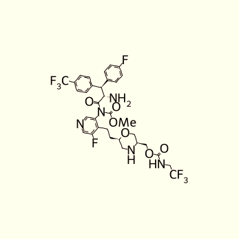 COC(=O)N(C(=O)[C@@H](N)[C@H](c1ccc(F)cc1)c1ccc(C(F)(F)F)cc1)c1cncc(F)c1CC[C@@H]1CN[C@H](COC(=O)NCC(F)(F)F)CO1